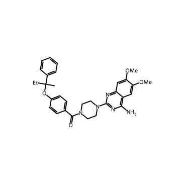 CCC(C)(Oc1ccc(C(=O)N2CCN(c3nc(N)c4cc(OC)c(OC)cc4n3)CC2)cc1)c1ccccc1